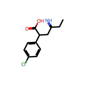 CCC(=N)CC(C(=O)O)c1ccc(Cl)cc1